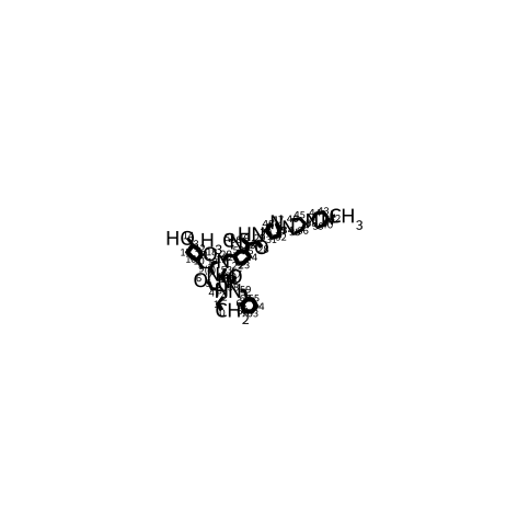 C=CCN1CC(=O)N2[C@@H](Cc3ccc(O)cc3)C(=O)N(Cc3cccc4c(C(=O)Nc5ccc(N6CCC(N7CCN(C)CC7)CC6)nc5)cn(C)c34)C[C@@H]2N1C(=O)NCc1ccccc1